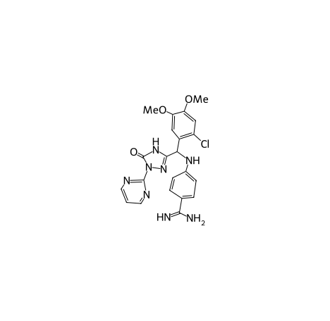 COc1cc(Cl)c(C(Nc2ccc(C(=N)N)cc2)c2nn(-c3ncccn3)c(=O)[nH]2)cc1OC